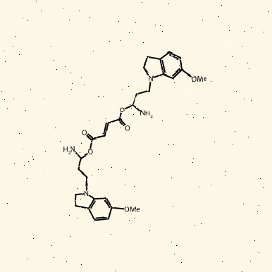 COc1ccc2c(c1)N(CCC(N)OC(=O)/C=C/C(=O)OC(N)CCN1CCc3ccc(OC)cc31)CC2